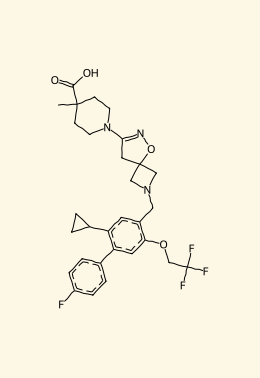 CC1(C(=O)O)CCN(C2=NOC3(C2)CN(Cc2cc(C4CC4)c(-c4ccc(F)cc4)cc2OCC(F)(F)F)C3)CC1